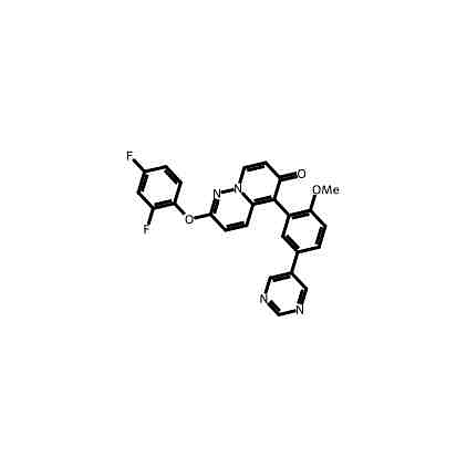 COc1ccc(-c2cncnc2)cc1-c1c(=O)ccn2nc(Oc3ccc(F)cc3F)ccc12